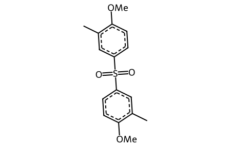 COc1ccc(S(=O)(=O)c2ccc(OC)c(C)c2)cc1C